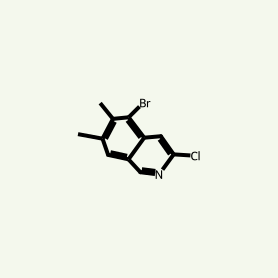 Cc1cc2cnc(Cl)cc2c(Br)c1C